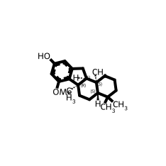 COc1cc(O)cc2c1[C@]1(C)CC[C@H]3C(C)(C)CCC[C@]3(C)[C@@H]1C2